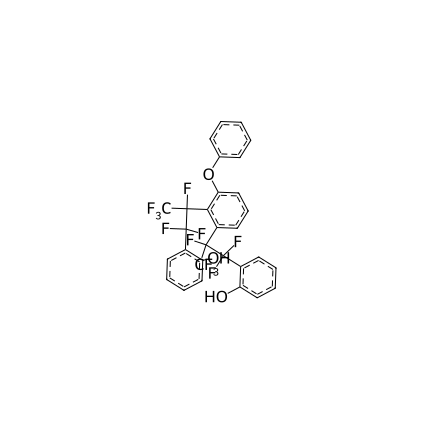 Oc1ccccc1C(F)(F)C(F)(c1cccc(Oc2ccccc2)c1C(F)(C(F)(F)F)C(F)(F)c1ccccc1O)C(F)(F)F